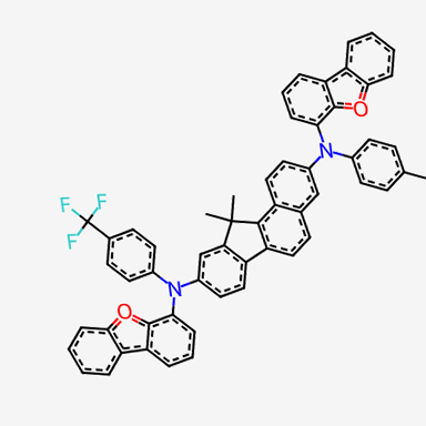 Cc1ccc(N(c2ccc3c4c(ccc3c2)-c2ccc(N(c3ccc(C(F)(F)F)cc3)c3cccc5c3oc3ccccc35)cc2C4(C)C)c2cccc3c2oc2ccccc23)cc1